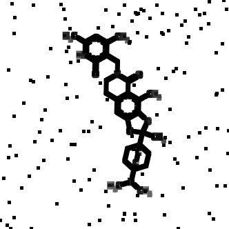 Cc1cc(C)c(CN2CCc3cc4c(c(C)c3C2=O)OC(C)(C23CCC(N(C)C)(CC2)CC3)O4)c(=O)[nH]1